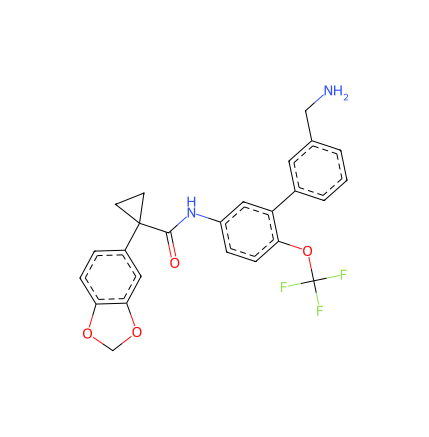 NCc1cccc(-c2cc(NC(=O)C3(c4ccc5c(c4)OCO5)CC3)ccc2OC(F)(F)F)c1